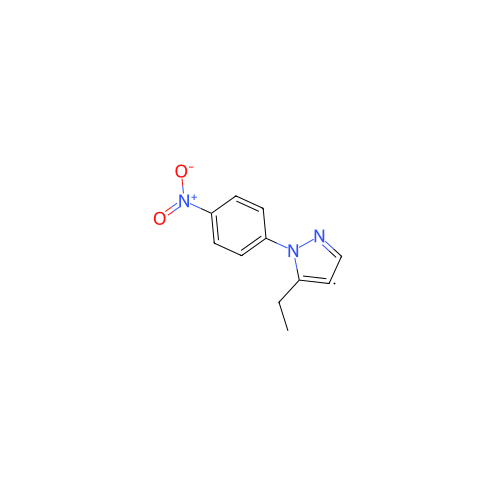 CCc1[c]cnn1-c1ccc([N+](=O)[O-])cc1